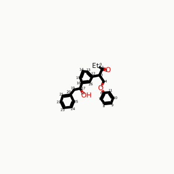 CCC(=O)C(COc1c[c]ccc1)c1cccc(C(O)Cc2ccccc2)c1